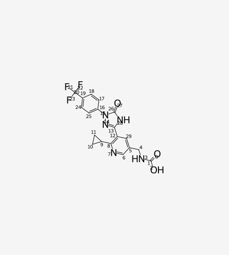 O=C(O)NCc1cnc(C2CC2)c(-c2nn(-c3ccc(C(F)(F)F)cc3)c(=O)[nH]2)c1